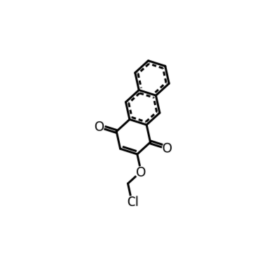 O=C1C=C(OCCl)C(=O)c2cc3ccccc3cc21